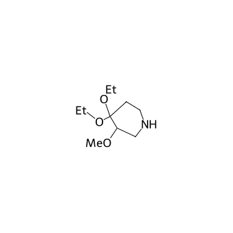 CCOC1(OCC)CCNCC1OC